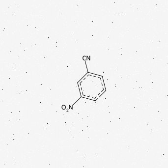 N#Cc1cc[c]c([N+](=O)[O-])c1